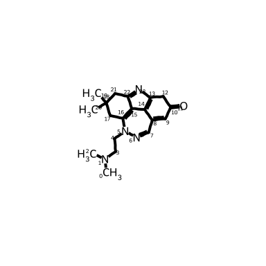 CN(C)CCN1N=CC2=CC(=O)CC3=C2C2=C1CC(C)(C)CC2=N3